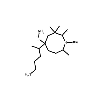 CC1CCC(SN)(C(C)CCCN)CC(C)(C)C(C)N1C(C)(C)C